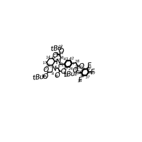 CC(C)(C)OC(=O)CN(CC(=O)OC(C)(C)C)[C@@H]1CCCC[C@H]1N(CC(=O)OC(C)(C)C)Cc1ccc(CC(=O)Oc2c(F)c(F)cc(F)c2F)cc1